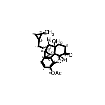 CC(=O)Oc1ccc2c3c1O[C@H]1C(=O)CC[C@@]4(O)[C@@H](C2)N(CC2CC2C)CC[C@]314